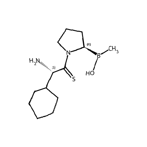 CB(O)[C@@H]1CCCN1C(=S)[C@@H](N)C1CCCCC1